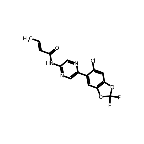 C/C=C/C(=O)Nc1cnc(-c2cc3c(cc2Cl)OC(F)(F)O3)cn1